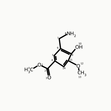 COC(=O)c1cc(CN)c(O)c(OC)c1